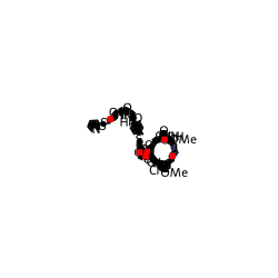 COc1cc2cc(c1Cl)N(C)C(=O)CC(OC(=O)C(C)N(C)C(=O)CCSCc1ccc(NC(=O)C(C)NC(=O)C(C)NC(=O)CCCSSc3ccccn3)cc1)C1(C)OC1C(C)C1CC(O)(NC(=O)O1)C(OC)/C=C/C=C(\C)C2